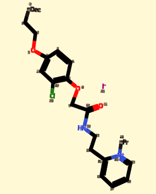 CCCCCCCCCCCCOc1ccc(OCC(=O)NCCc2cccc[n+]2CCC)c(Cl)c1.[I-]